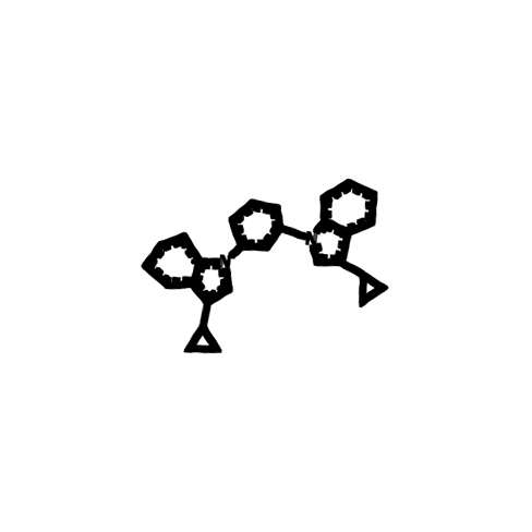 c1cc(-n2cc(C3CC3)c3ccccc32)cc(-n2cc(C3CC3)c3ccccc32)c1